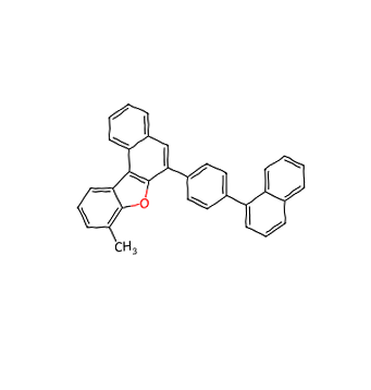 Cc1cccc2c1oc1c(-c3ccc(-c4cccc5ccccc45)cc3)cc3ccccc3c12